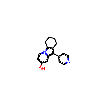 Oc1ccn2c3c(c(-c4ccncc4)c2c1)CCCC3